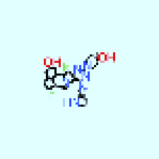 C#Cc1c(F)ccc2cc(O)cc(-c3ncc4c(N(C)C[C@H]5CCCN5)nc(N5CCC(C)(O)CC5)nc4c3F)c12